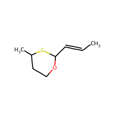 CC=CC1OCCC(C)S1